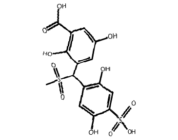 CS(=O)(=O)C(c1cc(O)c(S(=O)(=O)O)cc1O)c1cc(O)cc(C(=O)O)c1O